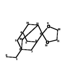 CCC12CC3CC(C1)C1(OCCO1)C(C3)C2